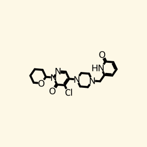 O=c1cccc(CN2CCN(c3cnn(C4CCCCO4)c(=O)c3Cl)CC2)[nH]1